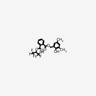 Cc1cc(C)c(O)c(COC(=O)c2ccccc2C(=O)OC(C(F)(F)F)C(F)(F)S)c1